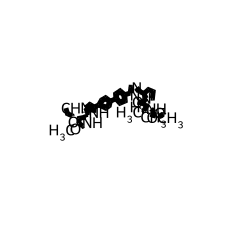 CCCOC1(OC)CN[C@H](c2ncc(-c3ccc(-c4ccc(-c5cnc(C6CCCN6C(=O)[C@@H](NC(=O)OC)C(C)C)[nH]5)cc4)cc3)[nH]2)C1